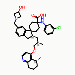 C[C@@H](COc1ccnc2c1[C@H](C)CCC2)C[C@H]1Cc2ccc(CN3CC(O)C3)cc2C12CCC(Nc1cccc(Cl)c1)(C(=O)O)CC2